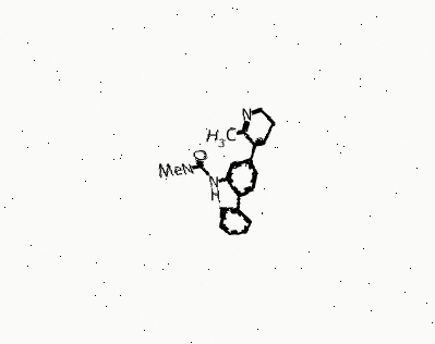 CNC(=O)Nc1cc(C2=CCCN=C2C)ccc1-c1ccccc1